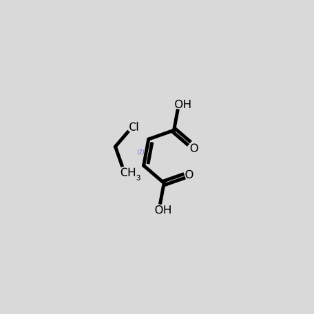 CCCl.O=C(O)/C=C\C(=O)O